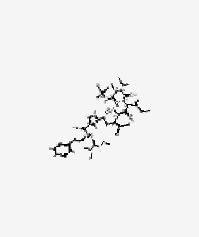 CCOC(=O)[C@@H](C)C[C@H](Cc1ccccc1)NC(=O)c1csc([C@H](O)C[C@H](C(C)C)N(C)C(=O)[C@@H](NC(=O)[C@@H](C(C)C)N(C)C(=O)OC(C)(C)C)C(C)CC)n1